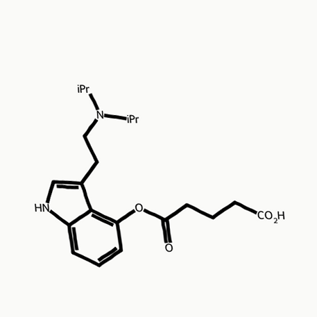 CC(C)N(CCc1c[nH]c2cccc(OC(=O)CCCC(=O)O)c12)C(C)C